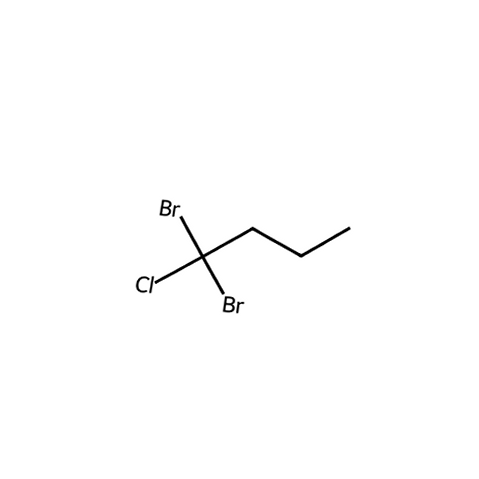 CCCC(Cl)(Br)Br